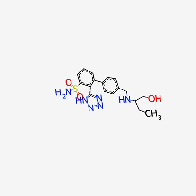 CCC(CO)NCc1ccc(-c2cccc(S(N)(=O)=O)c2-c2nnn[nH]2)cc1